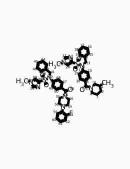 CC1CCCN(C(=O)c2ccc(N(Cc3ccccc3)S(=O)(=O)c3cn(C)cn3)cc2)C1.Cn1cnc(S(=O)(=O)N(Cc2ccccc2)c2ccc(C(=O)N3CCN(c4ccccc4F)CC3)cc2)c1